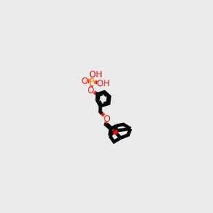 O=P(O)(O)Oc1cccc(COC=C2C3CC4CC(C3)CC2C4)c1